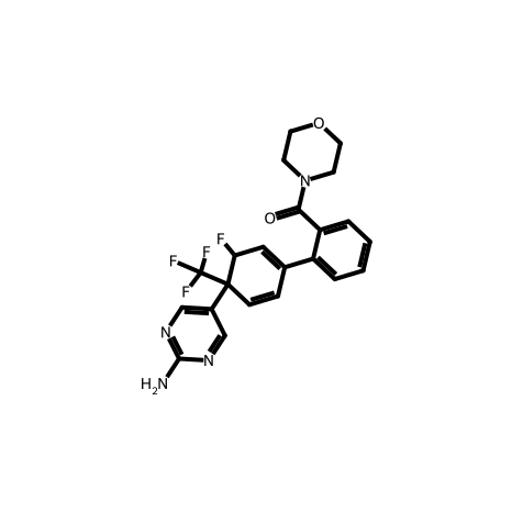 Nc1ncc(C2(C(F)(F)F)C=CC(c3ccccc3C(=O)N3CCOCC3)=CC2F)cn1